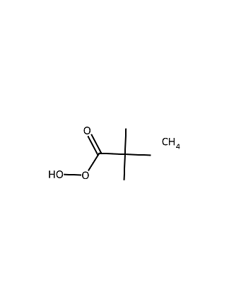 C.CC(C)(C)C(=O)OO